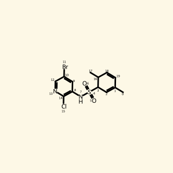 CC1=CC(S(=O)(=O)Nc2cc(Br)cnc2Cl)C(C)C=C1